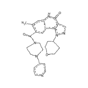 Cc1cc2[nH]c(=O)c3cnn(C4CCOCC4)c3c2cc1C(=O)N1CCN(c2ccncc2)CC1